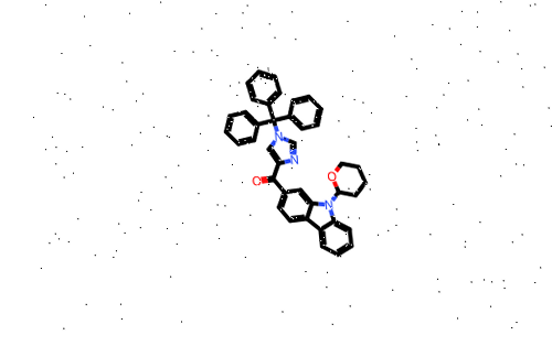 O=C(c1ccc2c3ccccc3n(C3CCCCO3)c2c1)c1cn(C(c2ccccc2)(c2ccccc2)c2ccccc2)cn1